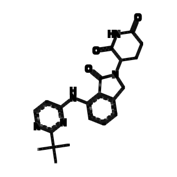 CC(C)(C)c1nccc(Nc2cccc3c2C(=O)N(C2CCC(=O)NC2=O)C3)n1